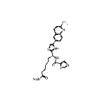 CNC(=O)CCCCC[C@H](NC(=O)c1cncs1)c1ncc(-c2ccc3nc(C(F)(F)F)ccc3c2)[nH]1